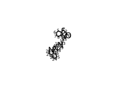 O=C1CSc2ccccc2N1CCCN1CCN(c2nccc3ccccc23)CC1